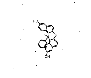 CC1(c2ccccc2)c2c(ccc3cc(O)ccc23)Sc2ccc3cc(O)ccc3c21